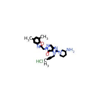 CC#CCn1c(N2CCC[C@@H](N)C2)nc2cnn(Cc3nc4cc(C)cc(C)c4o3)c(=O)c21.Cl